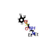 CCN(CC)CCNC(=O)CSOc1cccc(C)c1C